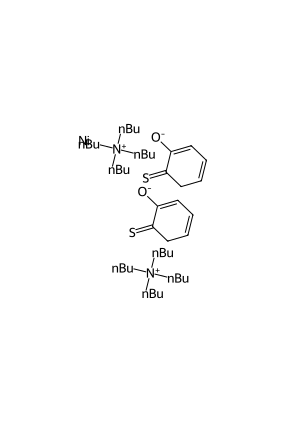 CCCC[N+](CCCC)(CCCC)CCCC.CCCC[N+](CCCC)(CCCC)CCCC.[Ni].[O-]C1=CC=CCC1=S.[O-]C1=CC=CCC1=S